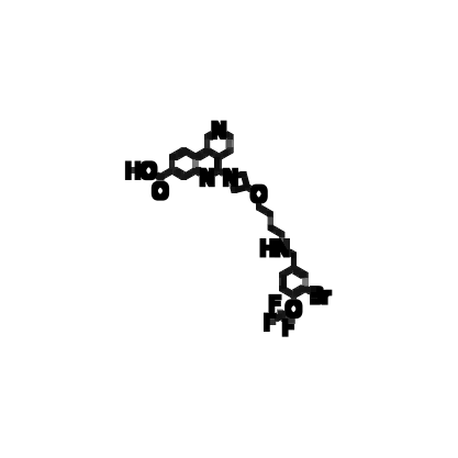 O=C(O)c1ccc2c(c1)nc(N1CC(OCCCCNCc3ccc(OC(F)(F)F)c(Br)c3)C1)c1ccncc12